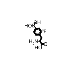 N[C@@H](Cc1ccc(B(O)O)cc1[18F])C(=O)O